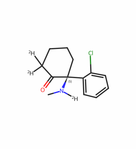 [2H]N(C)[C@]1(c2ccccc2Cl)CCCC([2H])([2H])C1=O